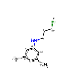 Cc1cc(C)cc(NCCCBr)c1